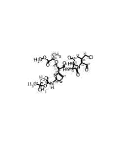 BOC(=O)[C@H](C)O/N=C(\C(=O)N[C@@H]1C(=O)N2C(C=O)=C(CCl)C[S+]([O-])[C@H]12)c1csc(NC(=O)OC(C)(C)C)n1